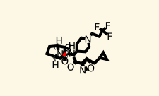 O=C(N[C@H]1C[C@H]2CC[C@@H](C1)N2S(=O)(=O)CC1CCN(CCC(F)(F)F)CC1)c1cc(C2CC2)on1